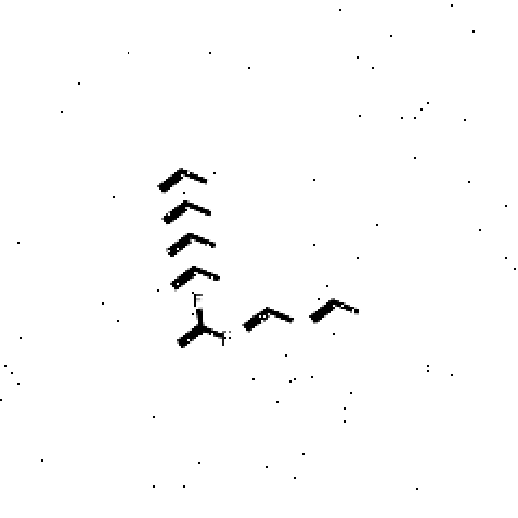 C=C(F)F.C=CC.C=CC.C=CC.C=CC.C=CC.C=CC